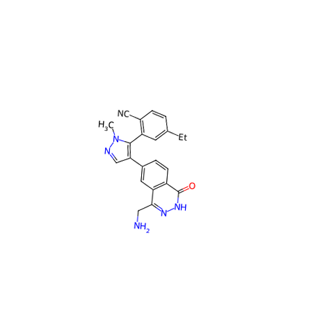 CCc1ccc(C#N)c(-c2c(-c3ccc4c(=O)[nH]nc(CN)c4c3)cnn2C)c1